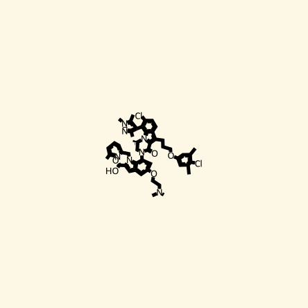 Cc1cccc(Cn2c(C(=O)O)cc3cc(OCCN(C)C)cc(N4C[C@@H](C)n5c(c(CCCOc6cc(C)c(Cl)c(C)c6)c6ccc(Cl)c(-c7c(C)nn(C)c7C)c65)C4=O)c32)n1